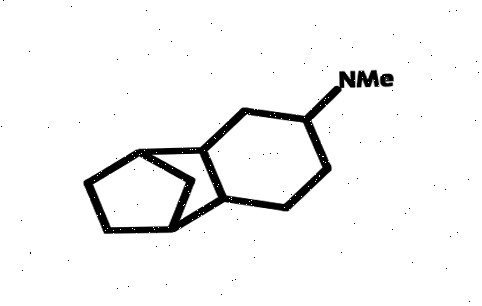 CNC1CCC2C3CCC(C3)C2C1